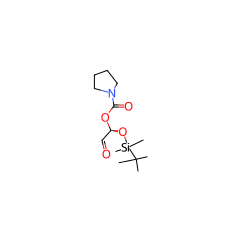 CC(C)(C)[Si](C)(C)O[C@@H](C=O)OC(=O)N1CCCC1